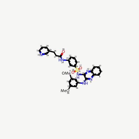 COc1cc(Nc2nc3ccccc3nc2NS(=O)(=O)c2cccc(NC(=O)CCc3cccnc3)c2)cc(OC)c1